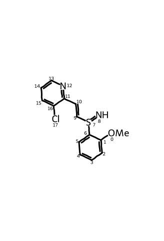 COc1ccccc1S(=N)/C=C/c1ncccc1Cl